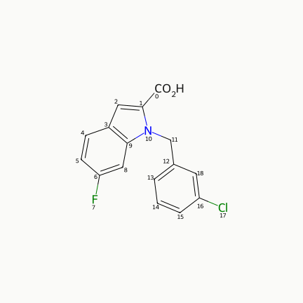 O=C(O)c1cc2ccc(F)cc2n1Cc1cccc(Cl)c1